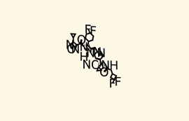 N#CC1([C@H](NC(=O)CC2CC(F)(F)C2)c2cnn3cc([C@@H](NC(=O)c4nonc4C4CC4)C4CCC(F)(F)CC4)nc3c2)CC1